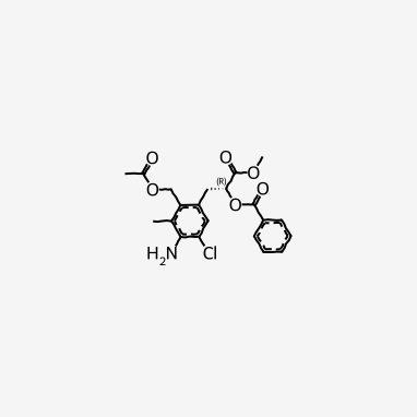 COC(=O)[C@@H](Cc1cc(Cl)c(N)c(C)c1COC(C)=O)OC(=O)c1ccccc1